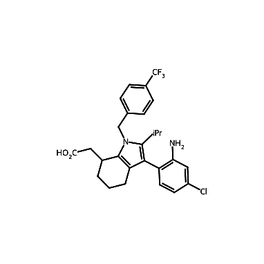 CC(C)c1c(-c2ccc(Cl)cc2N)c2c(n1Cc1ccc(C(F)(F)F)cc1)C(CC(=O)O)CCC2